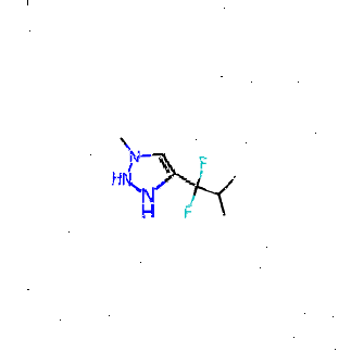 CC(C)C(F)(F)C1=CN(C)NN1